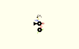 CCSNc1cc(Br)c(Oc2ccc(F)cc2F)cc1C1CC1